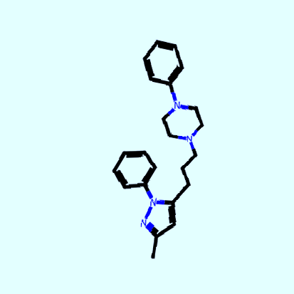 Cc1cc(CCCN2CCN(c3ccccc3)CC2)n(-c2ccccc2)n1